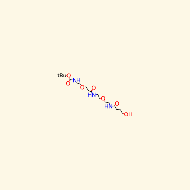 CC(C)(C)OC(=O)NCCOCCC(=O)NCCOCCNC(=O)CCCO